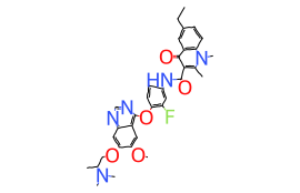 CCc1ccc2c(c1)c(=O)c(C(=O)Nc1ccc(Oc3ncnc4cc(OCC(C)N(C)C)c(OC)cc34)c(F)c1)c(C)n2C